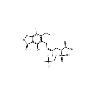 COc1c(C)c2c(c(O)c1CC=C(C)CC(C(=O)O)P(=O)(O)OCC(F)(F)F)C(=O)OC2